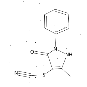 Cc1[nH]n(-c2ccccc2)c(=O)c1SC#N